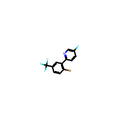 Fc1ccc(-c2cc(C(F)(F)F)ccc2Br)nc1